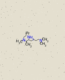 C=C(C(N)CCCCN(C)C)N(C)CCC(C)C